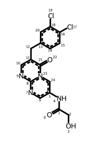 O=C(CO)Nc1cnc2ncc(Cc3ccc(Cl)c(Cl)c3)c(=O)n2c1